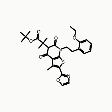 CCOc1ccccc1CCN1C(=O)C(C(C)(C)C(=O)OC(C)(C)C)C(=O)c2c1sc(-c1ncco1)c2C